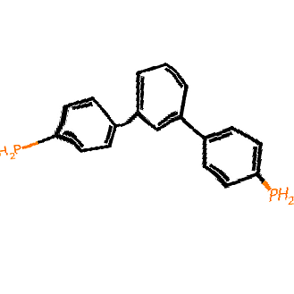 Pc1ccc(-c2cccc(-c3ccc(P)cc3)c2)cc1